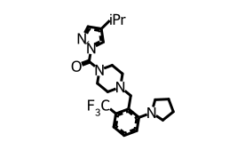 CC(C)c1cnn(C(=O)N2CCN(Cc3c(N4CCCC4)cccc3C(F)(F)F)CC2)c1